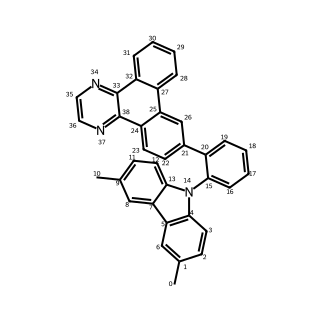 Cc1ccc2c(c1)c1cc(C)ccc1n2-c1ccccc1-c1ccc2c(c1)c1ccccc1c1nccnc21